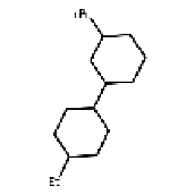 CCCC1CCCC(C2CCC(CC)CC2)C1